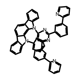 c1ccc(-n2c3ccccc3c3ccc4c5ccccc5n(-c5nc(-c6cccc(-c7ccccn7)c6)nc(-c6cccc(-c7ccccn7)c6)n5)c4c32)cc1